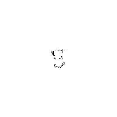 C1=CN2[N+]=CN=C2S1